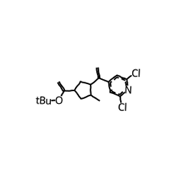 C=C(OC(C)(C)C)C1CC(C)C(C(=C)c2cc(Cl)nc(Cl)c2)C1